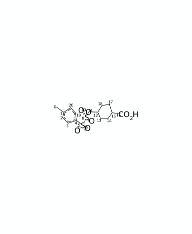 Cc1ccc(S(=O)(=O)S(=O)(=O)OC2CCC(C(=O)O)CC2)cc1